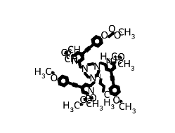 CCCCC[C@H]1CN(Cc2cc(C#Cc3ccc(OCC)cc3)cc(P(C)(C)=O)n2)CCN(Cc2cc(C#Cc3ccc(OCC(=O)OC)cc3)cc(P(C)(C)=O)n2)CCN1Cc1cc(C#Cc2ccc(OCC)cc2)cc(P(C)(=O)OCC)n1